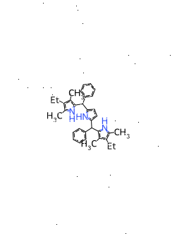 CCc1c(C)[nH]c(C(c2ccccc2)c2ccc(C(c3ccccc3)c3[nH]c(C)c(CC)c3C)[nH]2)c1C